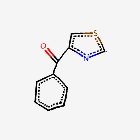 O=C(c1ccccc1)c1cs[c]n1